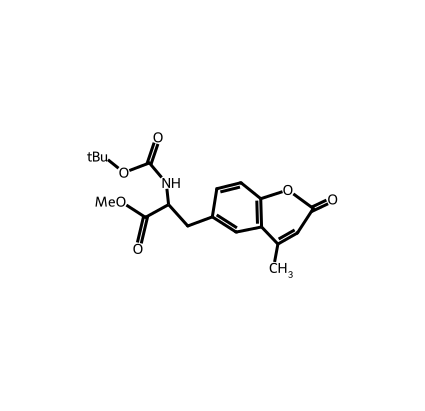 COC(=O)C(Cc1ccc2oc(=O)cc(C)c2c1)NC(=O)OC(C)(C)C